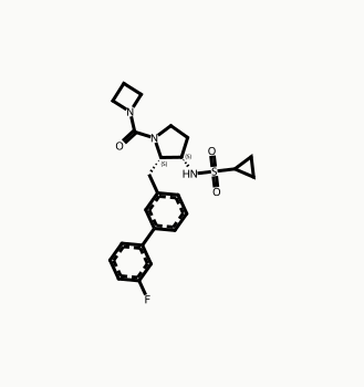 O=C(N1CCC1)N1CC[C@H](NS(=O)(=O)C2CC2)[C@@H]1Cc1cccc(-c2cccc(F)c2)c1